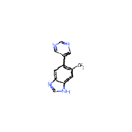 FC(F)(F)c1cc2[nH]cnc2cc1-c1cncnc1